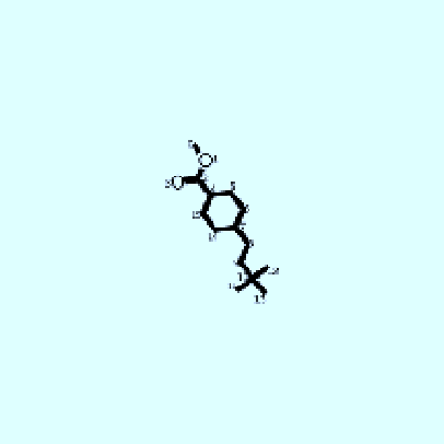 COC(=O)C1CCC(CCC(C)(C)C)CC1